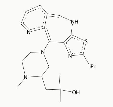 CC(C)c1nc2c(s1)NC=c1cccnc1=C2N1CCN(C)C(CC(C)(C)O)C1